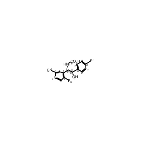 O=C(O)N[C@H](c1cc(Br)ncc1F)[C@H](O)c1ccc(F)cc1